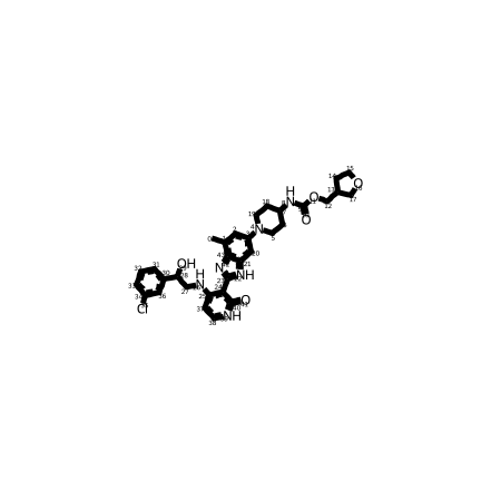 Cc1cc(N2CCC(NC(=O)OCC3CCOC3)CC2)cc2[nH]c(-c3c(NCC(O)c4cccc(Cl)c4)cc[nH]c3=O)nc12